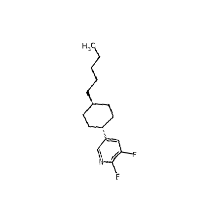 CCCCC[C@H]1CC[C@H](c2cnc(F)c(F)c2)CC1